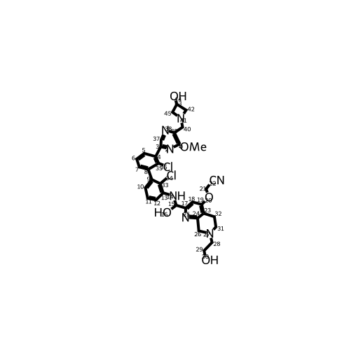 COc1nc(-c2cccc(-c3cccc(NC(O)c4cc(OCC#N)c5c(n4)CN(CCO)CC5)c3Cl)c2Cl)cnc1CN1CC(O)C1